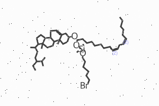 CCCCC/C=C\C/C=C\CCCCCCCC(OC1CCC2(C)C(=CCC3C2CCC2(C)C(C(C)CCC(CC)C(C)C)CCC32)C1)O[Si](C)(C)OCCCCCCBr